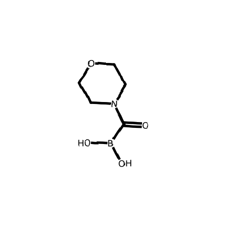 O=C(B(O)O)N1CCOCC1